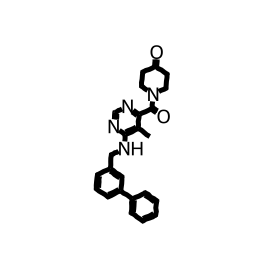 Cc1c(NCc2cccc(-c3ccccc3)c2)ncnc1C(=O)N1CCC(=O)CC1